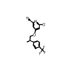 CC(COc1cc(Cl)nc(C#N)c1)c1ccc(C(F)(F)F)cc1